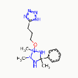 CN1NC(C)(c2ccccc2)N[N+]1(C)OCCCc1nnn[nH]1